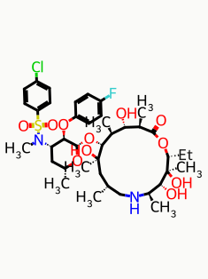 CC[C@H]1OC(=O)[C@H](C)[C@@H](O)[C@H](C)[C@@H](O[C@@H]2O[C@H](C)C[C@H](N(C)S(=O)(=O)c3ccc(Cl)cc3)[C@H]2Oc2ccc(F)cc2)[C@](C)(O)C[C@@H](C)CN[C@H](C)[C@@H](O)[C@]1(C)O